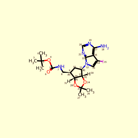 CC(C)(C)OC(=O)NC[C@H]1C[C@@H](n2cc(I)c3c(N)ncnc32)[C@@H]2OC(C)(C)O[C@H]12